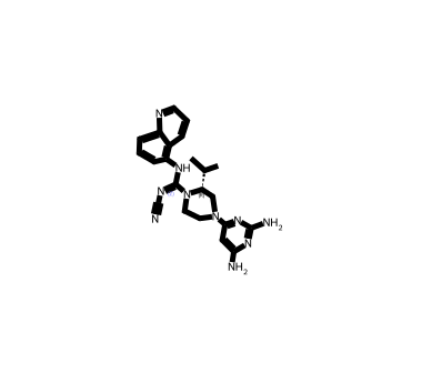 CC(C)[C@@H]1CN(c2cc(N)nc(N)n2)CCN1/C(=N\C#N)Nc1cccc2ncccc12